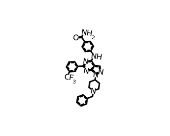 NC(=O)c1ccc(Nc2nc(-c3cccc(C(F)(F)F)c3)nc3c2cnn3C2CCN(Cc3ccccc3)CC2)cc1